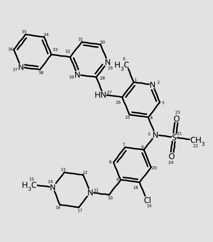 Cc1ncc(N(c2ccc(CN3CCN(C)CC3)c(Cl)c2)S(C)(=O)=O)cc1Nc1nccc(-c2cccnc2)n1